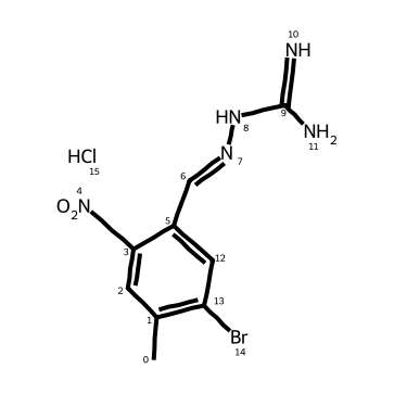 Cc1cc([N+](=O)[O-])c(C=NNC(=N)N)cc1Br.Cl